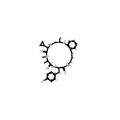 CC1CNC(C2CC2)C(=O)N(C)C(C)C(=O)NC(Cc2ccc(F)cc2)C(=O)NCCCc2ccccc2O1